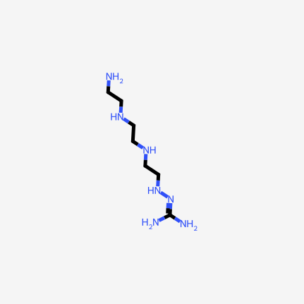 NCCNCCNCCNN=C(N)N